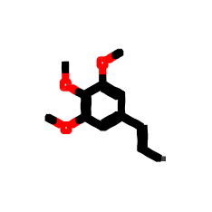 [CH2]C=Cc1cc(OC)c(OC)c(OC)c1